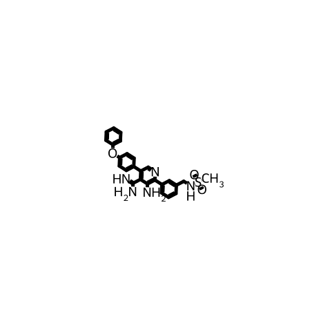 CS(=O)(=O)NCc1cccc(-c2ncc(-c3ccc(Oc4ccccc4)cc3)c(C(=N)N)c2N)c1